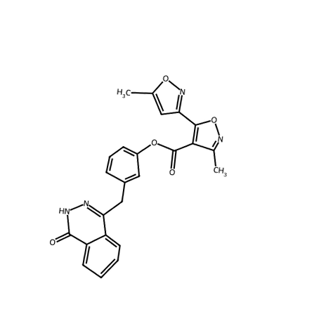 Cc1cc(-c2onc(C)c2C(=O)Oc2cccc(Cc3n[nH]c(=O)c4ccccc34)c2)no1